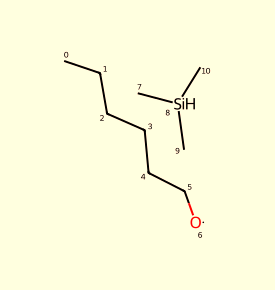 CCCCCC[O].C[SiH](C)C